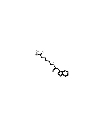 O=C(CCCCCNC(=O)Cc1csc2ccccc12)NO